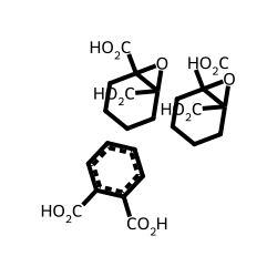 O=C(O)C12CCCCC1(C(=O)O)O2.O=C(O)C12CCCCC1(C(=O)O)O2.O=C(O)c1ccccc1C(=O)O